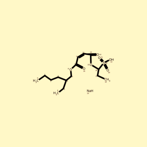 CCCCC(CC)COC(=O)/C=C\C(=O)OC(CC)S(=O)(=O)O.[NaH]